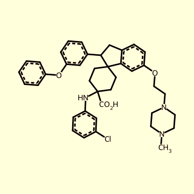 CN1CCN(CCOc2ccc3c(c2)C2(CCC(Nc4cccc(Cl)c4)(C(=O)O)CC2)C(c2cccc(Oc4ccccc4)c2)C3)CC1